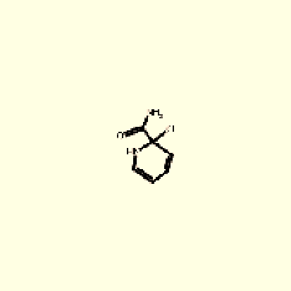 NC(=O)C1(Cl)C=CC=CN1